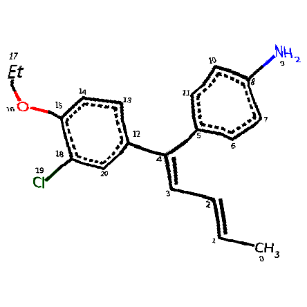 C/C=C/C=C(\c1ccc(N)cc1)c1ccc(OCC)c(Cl)c1